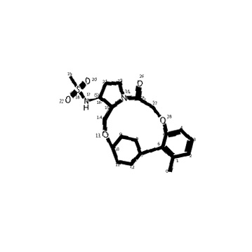 Cc1cccc2c1C1CCC(CC1)OCC1[C@@H](NS(C)(=O)=O)CCN1C(=O)CO2